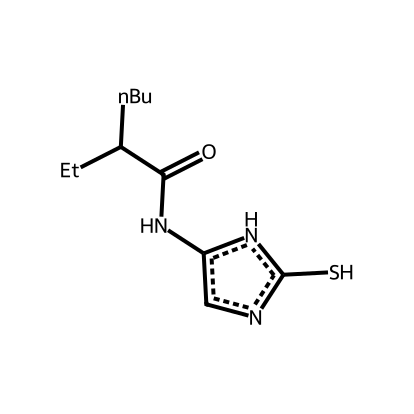 CCCCC(CC)C(=O)Nc1cnc(S)[nH]1